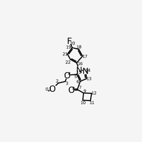 COCCOc1c(C(=O)C2CCC2)cnn1-c1ccc(F)cc1